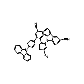 N#Cc1ccc(C2=CCC(C#N)C=C2C2=CCC(n3c4ccccc4c4ccccc43)C=C2)c(-n2c3ccccc3c3cc(C#N)ccc32)c1